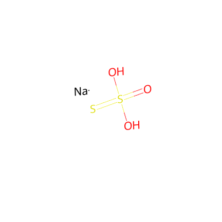 O=S(O)(O)=S.[Na]